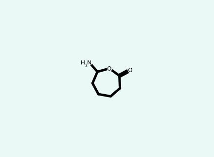 NC1CCCCC(=O)O1